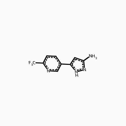 Nc1cc(-c2ccc(C(F)(F)F)nc2)[nH]n1